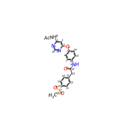 CC(=O)Nc1cc(Oc2ccc(NC(=O)Cc3ccc(S(C)(=O)=O)cc3)cc2)ncn1